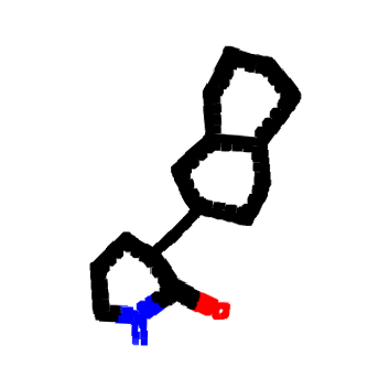 O=c1[nH]cccc1-c1ccc2ccccc2c1